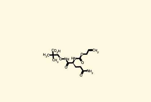 C=CCOC(=O)N[C@@H](CCC(N)=O)C(=O)NOCC(C)(C)C(=O)O